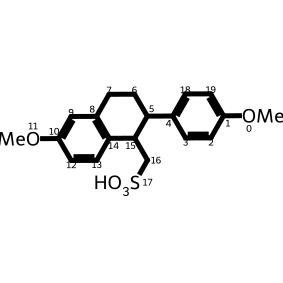 COc1ccc(C2CCc3cc(OC)ccc3C2CS(=O)(=O)O)cc1